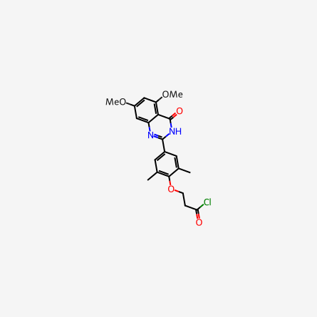 COc1cc(OC)c2c(=O)[nH]c(-c3cc(C)c(OCCC(=O)Cl)c(C)c3)nc2c1